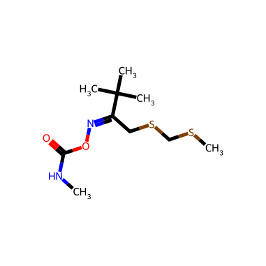 CNC(=O)ON=C(CSCSC)C(C)(C)C